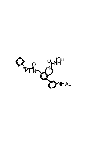 CC(=O)Nc1cccc(-c2ccc(CNC(=O)C3C[C@H]3c3ccccc3)c3c2CCN(C(=O)NC(C)(C)C)C3)c1